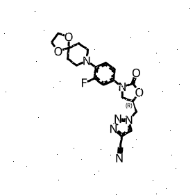 N#Cc1cn(C[C@H]2CN(c3ccc(N4CCC5(CC4)OCCO5)c(F)c3)C(=O)O2)nn1